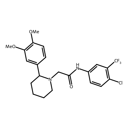 COc1ccc(C2CCCCN2CC(=O)Nc2ccc(Cl)c(C(F)(F)F)c2)cc1OC